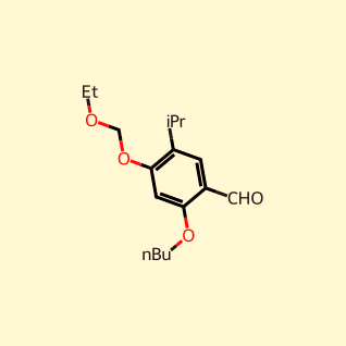 CCCCOc1cc(OCOCC)c(C(C)C)cc1C=O